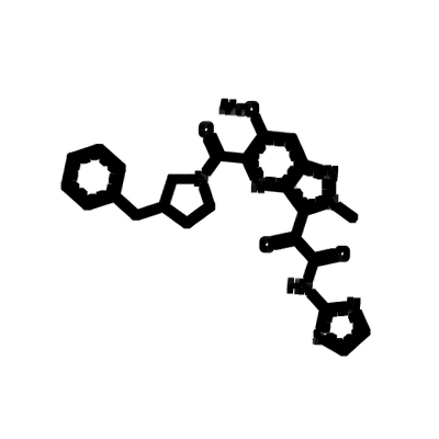 COc1cc2nn(C)c(C(=O)C(=O)Nc3nccs3)c2nc1C(=O)N1CCC(Cc2ccccc2)C1